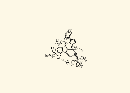 C[C](C)=[Zr]([C]1=C(c2ccoc2)C=CC1C)[CH]1c2ccc(C(C)(C)C)cc2-c2cc(C(C)(C)C)ccc21